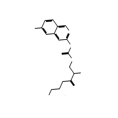 C=C(C[C@H](O)CO)C(S)COC(=O)Nc1cc2cc(F)ccc2cn1